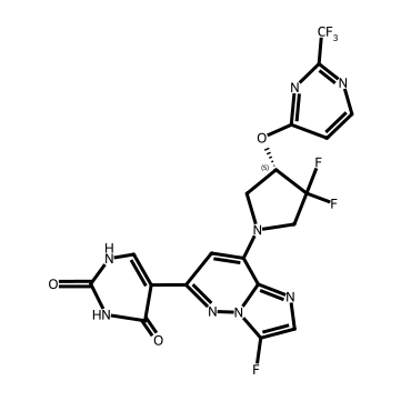 O=c1[nH]cc(-c2cc(N3C[C@H](Oc4ccnc(C(F)(F)F)n4)C(F)(F)C3)c3ncc(F)n3n2)c(=O)[nH]1